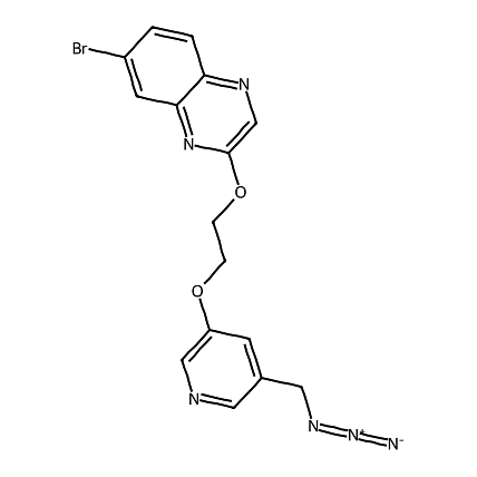 [N-]=[N+]=NCc1cncc(OCCOc2cnc3ccc(Br)cc3n2)c1